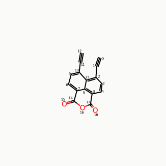 C#Cc1ccc2c3c(ccc(C#C)c13)C(=O)OC2=O